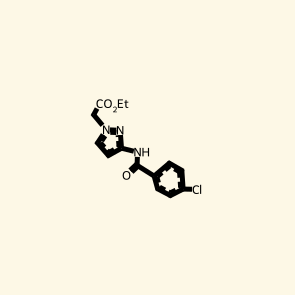 CCOC(=O)Cn1ccc(NC(=O)c2ccc(Cl)cc2)n1